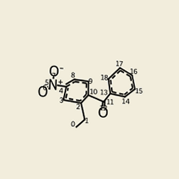 CCc1cc([N+](=O)[O-])ccc1C(=O)c1ccccc1